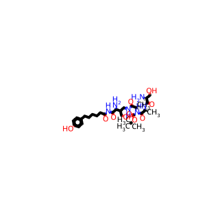 C[C@H](NC(=O)[C@@H](N)CO)C(=O)N(C(=O)OC(C)(C)C)[C@@H](C)C(=O)NCC(CO)C(N)C(=O)NC(=O)CCCCCc1ccc(O)cc1